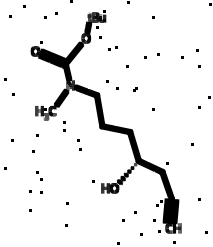 C#CC[C@H](O)CCCN(C)C(=O)OC(C)(C)C